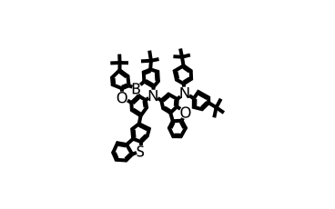 CC(C)(C)c1ccc(N(c2ccc(C(C)(C)C)cc2)c2cc(N3c4ccc(C(C)(C)C)cc4B4c5cc(C(C)(C)C)ccc5Oc5cc(-c6ccc7sc8ccccc8c7c6)cc3c54)cc3c2oc2ccccc23)cc1